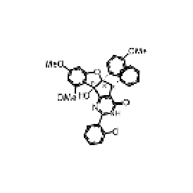 COc1ccc([C@@]23Oc4cc(OC)cc(OC)c4[C@]2(O)c2nc(-c4ccccc4Cl)[nH]c(=O)c2[C@H]3c2ccccc2)cc1